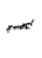 CC1(C)CCC(CN2CCN(c3ccc(C(=O)NS(=O)(=O)c4ccc(NCC5CCC(N6CCN(CCSc7cccc8c7CN(C7CCC(=O)NC7=O)C8=O)C(=O)C6)CC5)c(N(O)O)c4)c(Oc4cnc5[nH]ccc5c4)c3)CC2)=C(c2ccc(Cl)cc2)C1